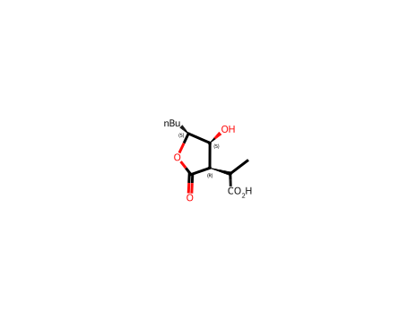 CCCC[C@@H]1OC(=O)[C@H](C(C)C(=O)O)[C@@H]1O